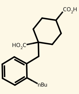 CCCCc1ccccc1CC1(C(=O)O)CCC(C(=O)O)CC1